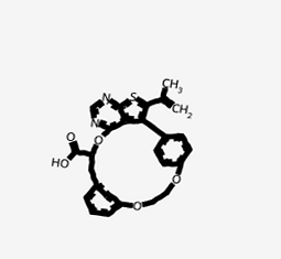 C=C(C)c1sc2ncnc3c2c1-c1ccc(cc1)OCCOc1cccc(c1)CC(C(=O)O)O3